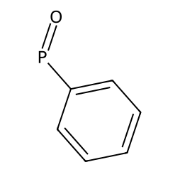 O=Pc1ccccc1